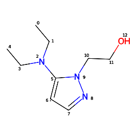 CCN(CC)c1[c]cnn1CCO